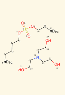 CCCCCCCCCCCCCCOS(=O)(=O)OCCCCCCCCCCCC.OCCN(CCO)CCO